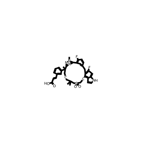 Cn1nc2nc1-c1cc(ccc1F)Cc1c(F)cc3[nH]ccc3c1CCS(=O)(=O)CC(C)(C)CCCC2(C)c1cccc(/C=C/C(=O)O)c1